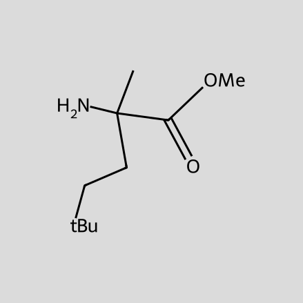 COC(=O)C(C)(N)CCC(C)(C)C